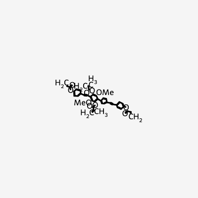 C=CC(=O)Oc1ccc(C#Cc2ccc(-c3c(OC)c(OC(=O)C(=C)C)c(C#Cc4ccc(OC(=O)C=C)cc4)c(OC)c3OC(=O)C(=C)C)cc2)cc1